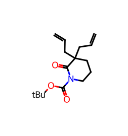 C=CCC1(CC=C)CCCN(C(=O)OC(C)(C)C)C1=O